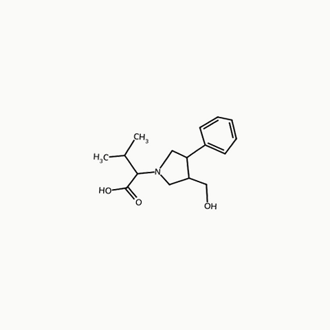 CC(C)C(C(=O)O)N1CC(CO)C(c2ccccc2)C1